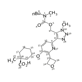 CCCCN(C)C(=O)OCc1c(-c2ccc(O[C@H]3CCC[C@](C)(C(=O)O)C3)c(C3COC3)n2)nnn1C